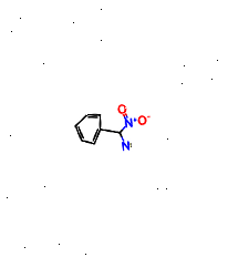 [N]C(c1ccccc1)[N+](=O)[O-]